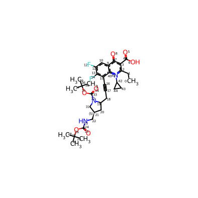 CCc1c(C(=O)O)c(=O)c2cc(F)c(F)c(C#CCC3C[C@@H](CNC(=O)OC(C)(C)C)CN3C(=O)OC(C)(C)C)c2n1C1CC1